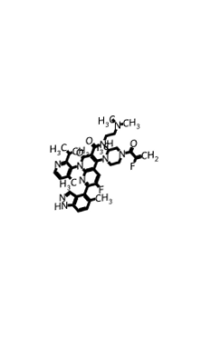 C=C(F)C(=O)N1CCN(c2c(C(=O)NCCN(C)C)c(=O)n(-c3c(C)ccnc3C(C)C)c3nc(-c4c(C)ccc5[nH]ncc45)c(F)cc23)[C@@H](C)C1